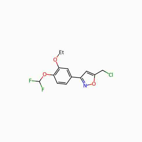 CCOc1cc(-c2cc(CCl)on2)ccc1OC(F)F